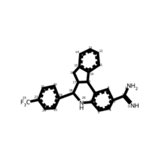 N=C(N)c1ccc2c(c1)C1c3ccccc3CC1C(c1ccc(C(F)(F)F)cc1)N2